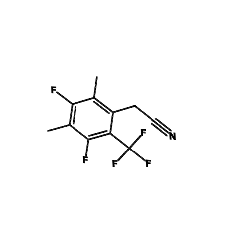 Cc1c(F)c(C)c(CC#N)c(C(F)(F)F)c1F